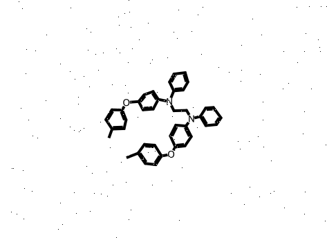 Cc1ccc(Oc2ccc(N(CCN(c3ccccc3)c3ccc(Oc4ccc(C)cc4)cc3)c3ccccc3)cc2)cc1